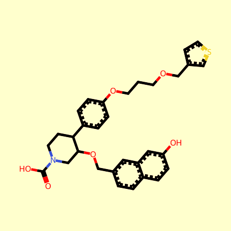 O=C(O)N1CCC(c2ccc(OCCCOCc3ccsc3)cc2)C(OCc2ccc3ccc(O)cc3c2)C1